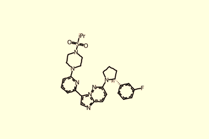 CC(C)S(=O)(=O)N1CCN(c2cccc(-c3cnc4ccc(N5CCC[C@@H]5c5cccc(F)c5)nn34)n2)CC1